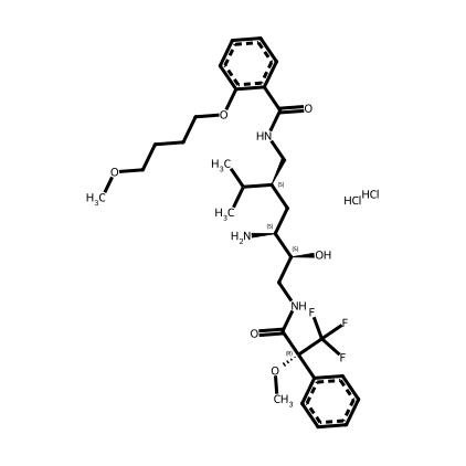 COCCCCOc1ccccc1C(=O)NC[C@@H](C[C@H](N)[C@@H](O)CNC(=O)[C@](OC)(c1ccccc1)C(F)(F)F)C(C)C.Cl.Cl